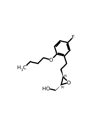 CCCCOc1ccc(F)cc1CC[C@H]1O[C@@H]1CO